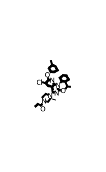 C=CC(=O)N1CCN(c2nc(=O)n(-c3ccccc3C(C)C)c3nc(Oc4cccc(C)c4)c(Cl)cc23)[C@@H](C)C1